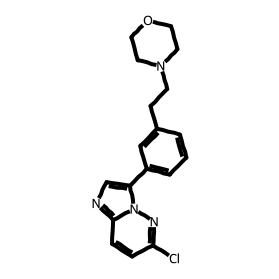 Clc1ccc2ncc(-c3cccc(CCN4CCOCC4)c3)n2n1